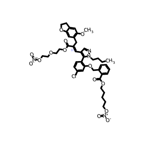 CCCCn1ncc(/C=C(\Cc2cc3c(cc2OC)CCO3)C(=O)OCCOCCO[N+](=O)[O-])c1-c1ccc(Cl)cc1OCc1ccccc1C(=O)OCCCCCO[N+](=O)[O-]